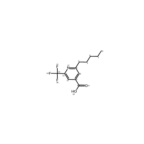 CCCCCc1cc(C(=O)O)cc(C(F)(F)F)n1